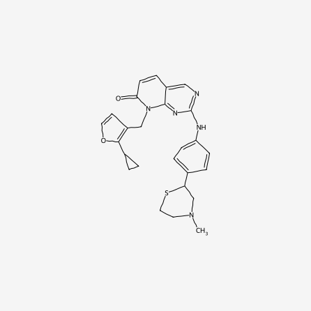 CN1CCSC(c2ccc(Nc3ncc4ccc(=O)n(Cc5ccoc5C5CC5)c4n3)cc2)C1